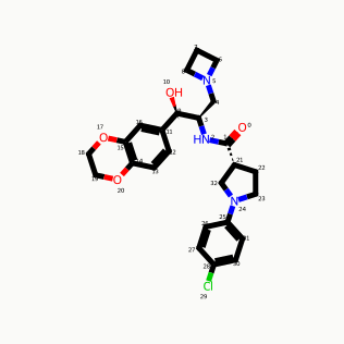 O=C(N[C@H](CN1CCC1)[C@H](O)c1ccc2c(c1)OCCO2)[C@@H]1CCN(c2ccc(Cl)cc2)C1